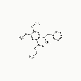 CCOC(=O)c1cc(OC)c(OC)cc1C(C)Cc1ccccc1